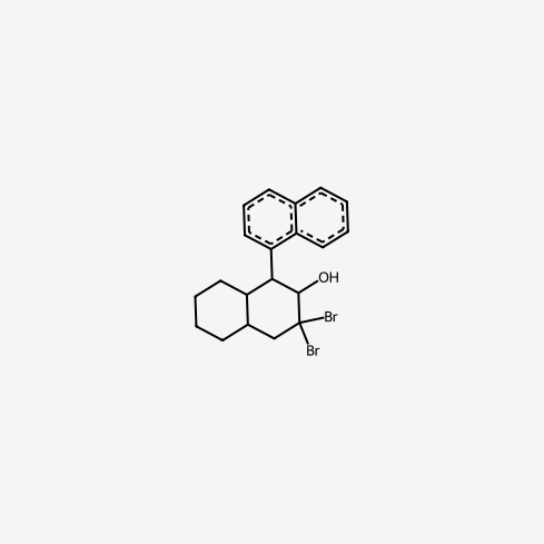 OC1C(c2cccc3ccccc23)C2CCCCC2CC1(Br)Br